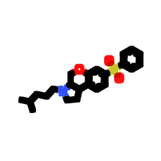 CC(C)CCCN1CCC2c3ccc(S(=O)(=O)c4ccccc4)cc3OCC21